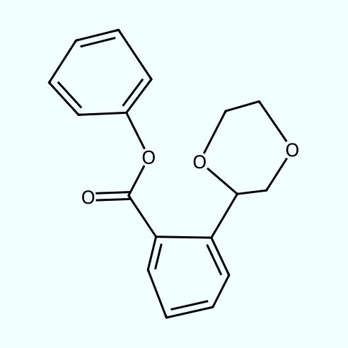 O=C(Oc1ccccc1)c1ccccc1C1COCCO1